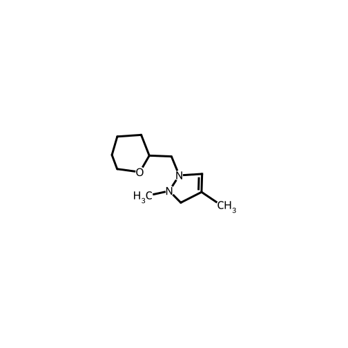 CC1=CN(CC2CCCCO2)N(C)C1